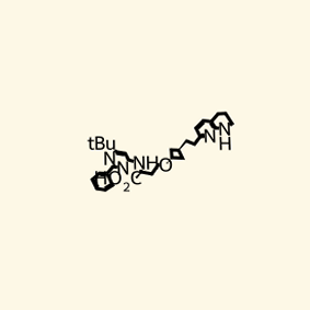 CC(C)(C)c1cc(N[C@@H](CCO[C@H]2C[C@H](CCc3ccc4c(n3)NCCC4)C2)C(=O)O)nc(-c2ccccc2)n1